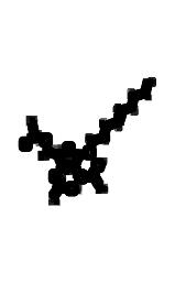 CCCC/C=C/CCCOC1OC(COC(C)=O)C(OC(C)=O)C1OC(C)=O